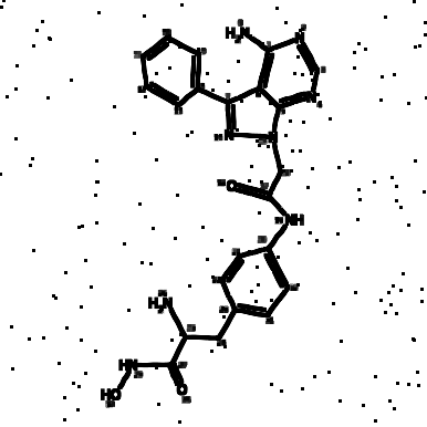 Nc1ncnc2c1c(-c1ccccc1)nn2CC(=O)Nc1ccc(CC(N)C(=O)NO)cc1